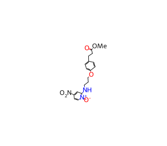 COC(=O)CCc1ccc(OCCCNc2cc([N+](=O)[O-])cc[n+]2[O-])cc1